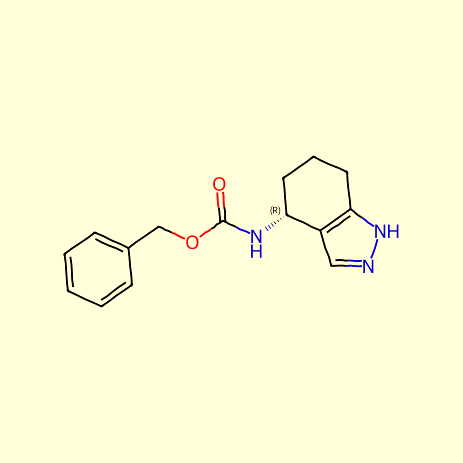 O=C(N[C@@H]1CCCc2[nH]ncc21)OCc1ccccc1